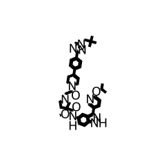 CO[C@@]1(C(=O)Nc2ccc3[nH]nc(-c4ccc(OC(C)C)nc4)c3c2)CCN(CC(=O)N2CC=C(c3ccc(-c4ncn(CC(C)(C)C)n4)cc3)CC2)C1